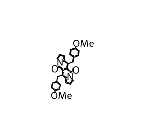 COc1ccc(Cc2c3c(=O)n4cccc4c(Cc4ccc(OC)cc4)c3c(=O)n3cccc23)cc1